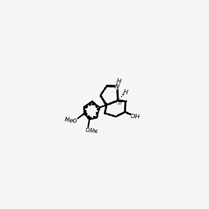 COc1ccc(C23CCN[C@H]2CC(O)CC3)cc1OC